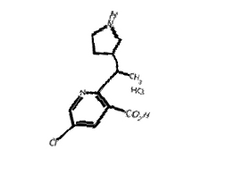 CC(c1ncc(Cl)cc1C(=O)O)C1CCNC1.Cl